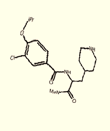 CNC(=O)C(CC1CCNCC1)NC(=O)c1ccc(OC(C)C)c(Cl)c1